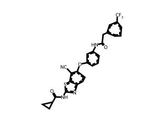 N#Cc1c(Oc2cccc(NC(=O)Cc3cccc(C(F)(F)F)c3)c2)ccc2nc(NC(=O)C3CC3)sc12